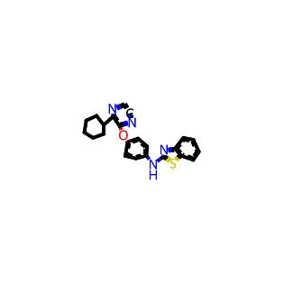 c1ccc2sc(Nc3ccc(Oc4nccnc4C4CCCCC4)cc3)nc2c1